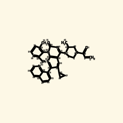 C=CC(=O)N1CCN(c2nc(=O)n(-c3c(C)ccnc3C(C)C)c3nc(-c4cccc5cccnc45)c(C4CC4)cc23)C(C)C1